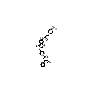 CN1CCN(CCC(=O)Nc2ccc3c(=O)n(CC4CCN(C(=O)C[C@H](CO)c5ccccc5)CC4)cnc3c2)CC1